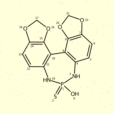 OP1(=S)Nc2ccc3c(c2-c2c(ccc4c2OCO4)N1)OCO3